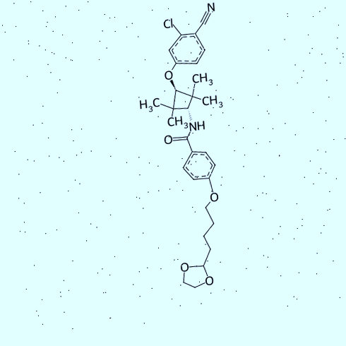 CC1(C)[C@H](NC(=O)c2ccc(OCCCCC3OCCO3)cc2)C(C)(C)[C@H]1Oc1ccc(C#N)c(Cl)c1